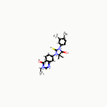 CC1(C)C(=O)N(c2ccc(C#N)c(C(F)(F)F)c2)C(=S)N1c1ccc2c(=O)n(CC(F)(F)F)cnc2c1